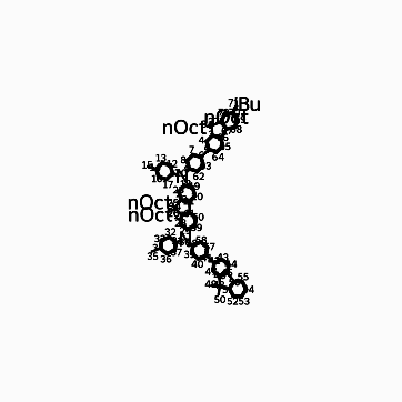 CCCCCCCCC1(CCCCCCCC)c2cc(-c3ccc(N(c4ccc(C)cc4)c4ccc5c(c4)C(CCCCCCCC)(CCCCCCCC)c4cc(N(c6ccc(C)cc6)c6ccc(-c7ccc8c(c7)C(C)(C)c7ccccc7-8)cc6)ccc4-5)cc3)ccc2-c2ccc(C(C)CC)cc21